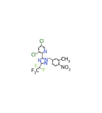 Cc1cc(Cn2nc(C(F)(F)C(F)(F)F)nc2-c2ncc(Cl)cc2Cl)ccc1[N+](=O)[O-]